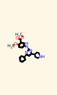 COC(=O)c1cc(Nc2nc(-c3ccccc3)cc(C3CCNCC3)n2)ccc1OC